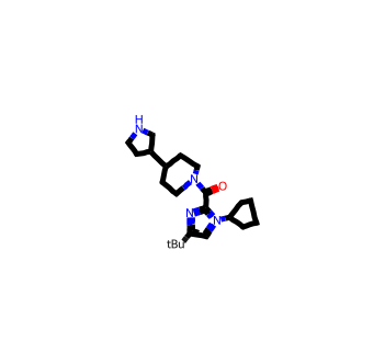 CC(C)(C)c1cn(C2CCCC2)c(C(=O)N2CCC(C3CCNC3)CC2)n1